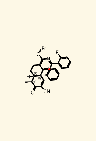 CC(C)Oc1nc(-c2ccccc2F)nc2c1CC[C@H]1[C@H](C)C(=O)C(C#N)=C[C@]21c1ccccc1